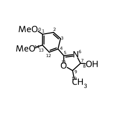 COc1ccc(C2=NC(O)C(C)O2)cc1OC